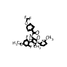 COc1cc(F)c(-c2c(NC(=O)c3ccc(OC(F)F)cc3)c(=O)n(-c3cccc(C)n3)n2C)c(F)c1